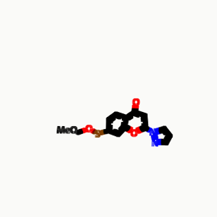 COCOSc1ccc2c(=O)cc(-n3cccn3)oc2c1